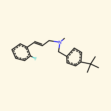 CN(CC=Cc1ccccc1F)Cc1ccc(C(C)(C)C)cc1